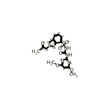 COc1cc(OC)nc(NC(=O)NS(=O)(=O)c2cccc3c2SN(CC(C)=O)C3)n1